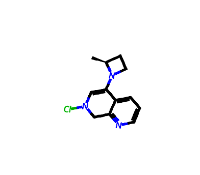 C[C@H]1CCN1C1=CN(Cl)Cc2ncccc21